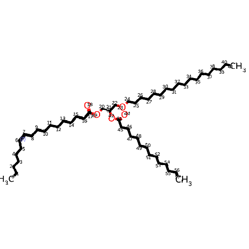 CCCCCC/C=C\CCCCCCCCCC(=O)OC[C@@H](COCCCCCCCCCCCCCCCCCC)OC(=O)CCCCCCCCCCCCC